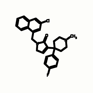 CN1CCC(C2=CCN(Cc3cc(Cl)cc4ccccc34)C2=O)(c2ccc(F)cc2)CC1